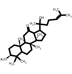 CC(=O)O[C@H]1CC[C@@]2(C)C(CC[C@]3(C)C2CC(=O)C2C(C(C)(O)CCC=C(C)C)CC[C@]23C)C1(C)C